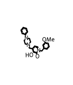 COc1cccc(Cn2ccc(CN3CCN(c4ccccc4)CC3)c(O)c2=O)c1